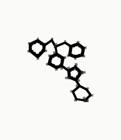 c1ccc(CN(Cc2ccccc2)c2cccc(-c3noc(C4CCNCC4)n3)c2)cc1